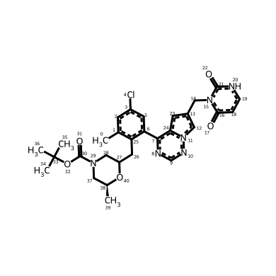 Cc1cc(Cl)cc(-c2ncnn3cc(Cn4c(=O)cc[nH]c4=O)cc23)c1CC1CN(C(=O)OC(C)(C)C)C[C@H](C)O1